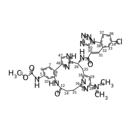 COC(=O)Nc1ccc2c(c1)NC(=O)CCc1nc(cc(N(C)C)n1)C[C@H](NC(=O)/C=C/c1cc(Cl)ccc1-n1cnnn1)c1nc-2c[nH]1